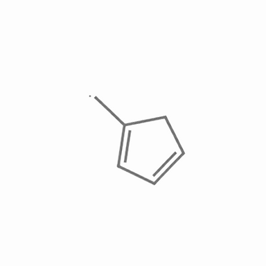 [CH2]C1=CC=CC1